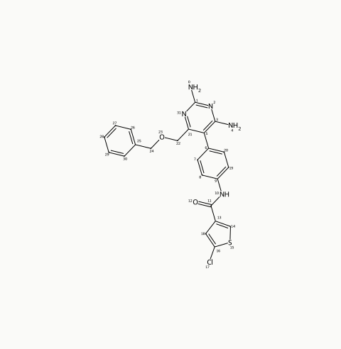 Nc1nc(N)c(-c2ccc(NC(=O)c3csc(Cl)c3)cc2)c(COCc2ccccc2)n1